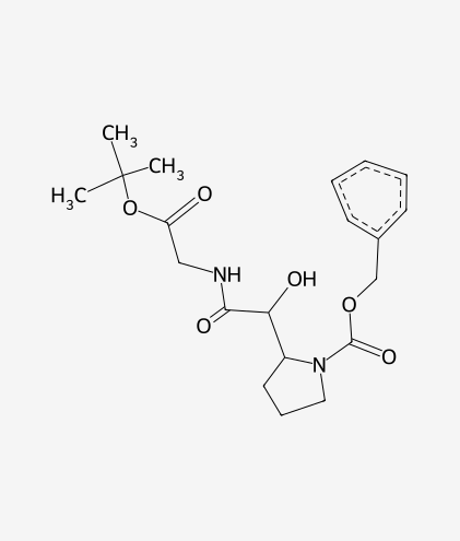 CC(C)(C)OC(=O)CNC(=O)C(O)C1CCCN1C(=O)OCc1ccccc1